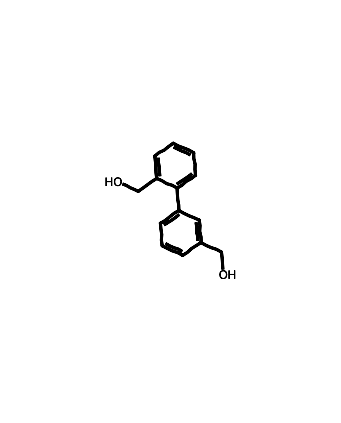 OCc1cccc(-c2ccccc2CO)c1